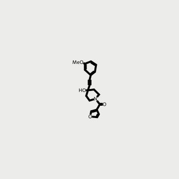 COc1cccc(C#CC2(O)CCN(C(=O)c3ccoc3)CC2)c1